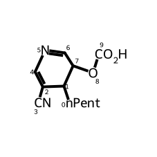 CCCCCC1C(C#N)=CN=CC1OC(=O)O